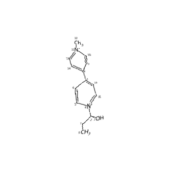 CCC(O)[n+]1ccc(-c2cc[n+](C)cc2)cc1